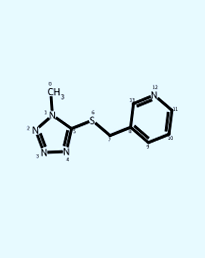 Cn1nnnc1SCc1cccnc1